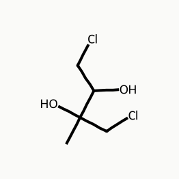 CC(O)(CCl)C(O)CCl